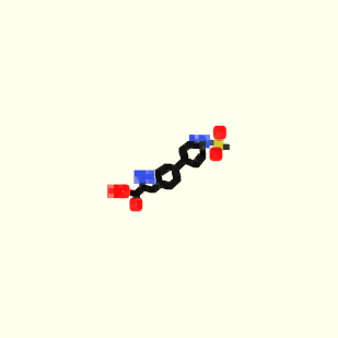 CS(=O)(=O)Nc1ccc(-c2ccc(C[C@H](N)C(=O)O)cc2)cc1